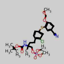 COCOc1ccc(C#N)cc1Sc1ccc(CCC(C)(COP(=O)(OC)OC)NC(=O)OC(C)(C)C)c(Cl)c1